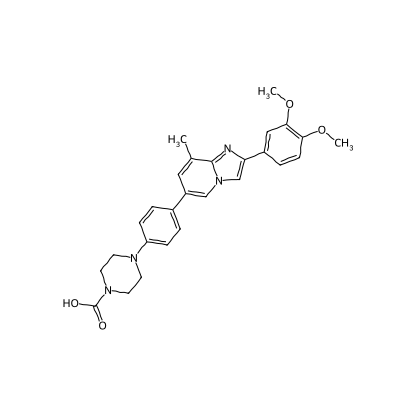 COc1ccc(-c2cn3cc(-c4ccc(N5CCN(C(=O)O)CC5)cc4)cc(C)c3n2)cc1OC